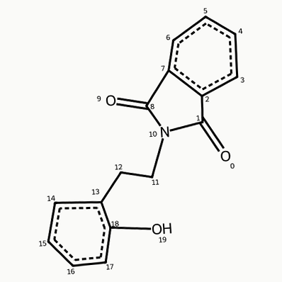 O=C1c2ccccc2C(=O)N1CCc1ccccc1O